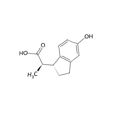 C[C@@H](C(=O)O)[C@H]1CCc2cc(O)ccc21